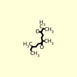 CCC(C)CCC(=O)C(C)CCC(=O)C(C)C